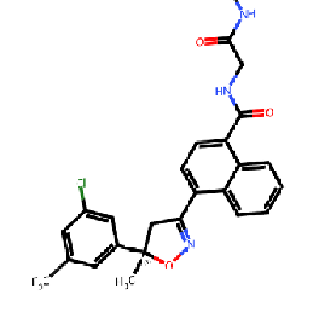 CCNC(=O)CNC(=O)c1ccc(C2=NO[C@](C)(c3cc(Cl)cc(C(F)(F)F)c3)C2)c2ccccc12